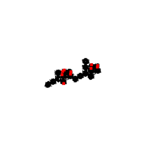 c1ccc(-c2ccc(-c3cc(-c4ccccc4-c4cccc5c4Oc4cc(-c6cccc(-c7ccc(-c8cc(-c9ccccc9-c9cccc%10c9Oc9ccccc9C%109c%10ccccc%10-c%10ccccc%109)nc(-c9ccc(-c%10ccccc%10)cc9)n8)cc7)c6)ccc4C54c5ccccc5-c5ccccc54)nc(-c4ccccc4)n3)cc2)cc1